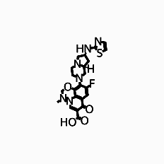 CN1COc2c(N3CCN4C[C@@H](Nc5nccs5)C[C@H]4C3)c(F)cc3c(=O)c(C(=O)O)cn1c23